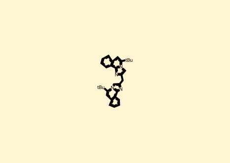 CC(C)(C)c1cc2ccccc2c2nc(Cc3cn4c(C(C)(C)C)cc5ccccc5c4n3)cn12